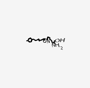 Cc1ccc(CCCCCOc2ccc(CCC(C)(N)CO)n2C)cc1